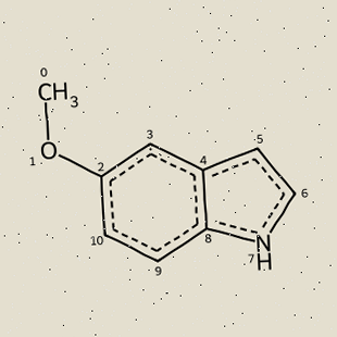 COc1[c]c2cc[nH]c2cc1